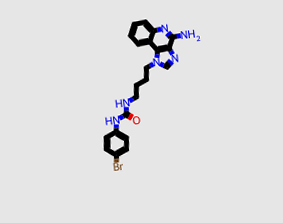 Nc1nc2ccccc2c2c1ncn2CCCCNC(=O)Nc1ccc(Br)cc1